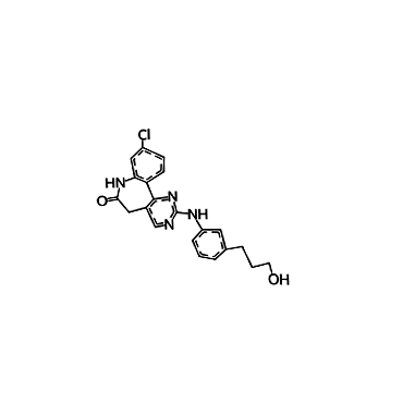 O=C1Cc2cnc(Nc3cccc(CCCO)c3)nc2-c2ccc(Cl)cc2N1